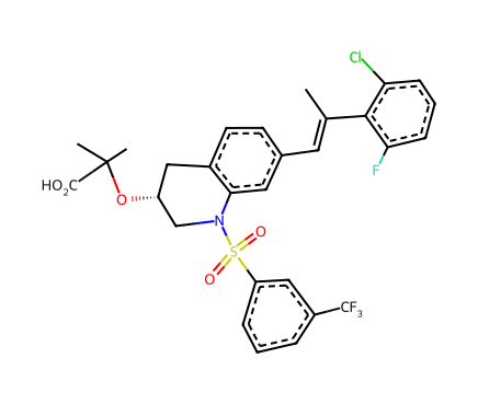 C/C(=C\c1ccc2c(c1)N(S(=O)(=O)c1cccc(C(F)(F)F)c1)C[C@H](OC(C)(C)C(=O)O)C2)c1c(F)cccc1Cl